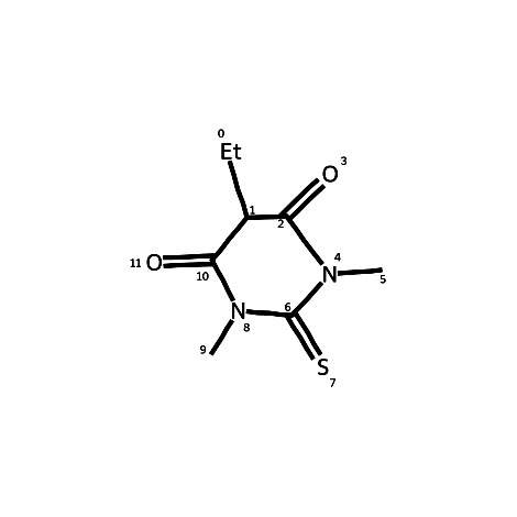 CCC1C(=O)N(C)C(=S)N(C)C1=O